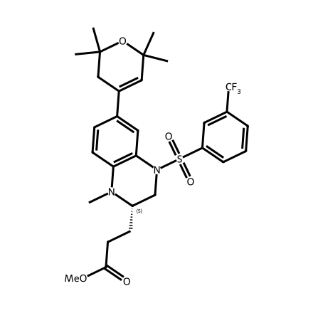 COC(=O)CC[C@H]1CN(S(=O)(=O)c2cccc(C(F)(F)F)c2)c2cc(C3=CC(C)(C)OC(C)(C)C3)ccc2N1C